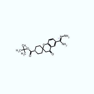 CC(C)(C)OC(=O)N1CCC2(CC1)CC(=O)c1cc(/C(N)=N/N)ccc1O2